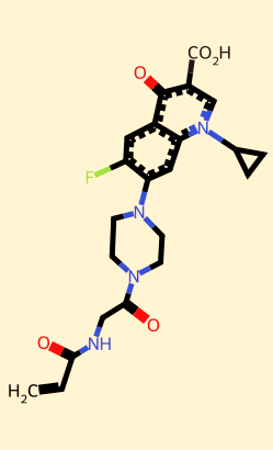 C=CC(=O)NCC(=O)N1CCN(c2cc3c(cc2F)c(=O)c(C(=O)O)cn3C2CC2)CC1